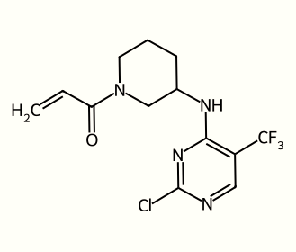 C=CC(=O)N1CCCC(Nc2nc(Cl)ncc2C(F)(F)F)C1